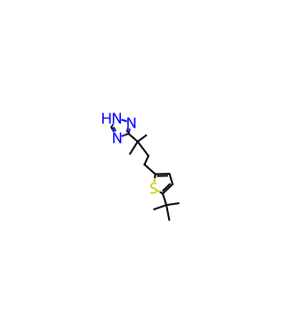 CC(C)(C)c1ccc(CCC(C)(C)c2nc[nH]n2)s1